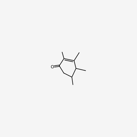 CC1=C(C)C(C)C(C)CC1=O